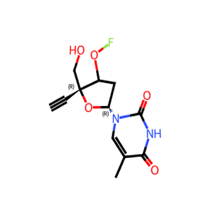 C#C[C@]1(CO)O[C@@H](n2cc(C)c(=O)[nH]c2=O)CC1OF